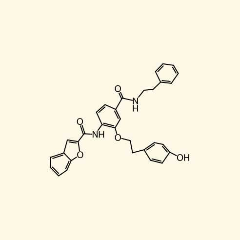 O=C(NCCc1ccccc1)c1ccc(NC(=O)c2cc3ccccc3o2)c(OCCc2ccc(O)cc2)c1